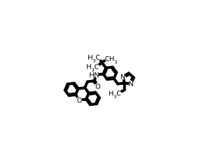 CCC1(Cc2ccc(C(C)(C)C)c(NC(=O)CC3c4ccccc4Oc4ccccc43)c2)N=CC=N1